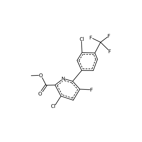 COC(=O)c1nc(-c2ccc(C(F)(F)F)c(Cl)c2)c(F)cc1Cl